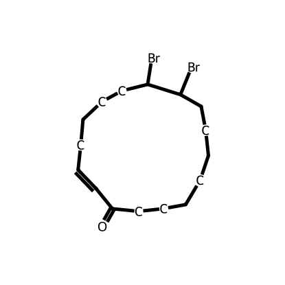 O=C1/C=C\CCCCC(Br)C(Br)CCCCCCC1